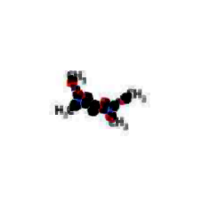 Cc1ccc(/C=C/c2ccc(N(c3ccc(C)cc3)c3ccc(-c4ccc(-c5ccc(N(c6ccc(C)cc6)c6ccc(/C=C/c7ccc(C)cc7)cc6)c6ccccc56)c5ccccc45)c4ccccc34)cc2)cc1